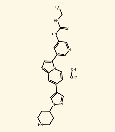 O=C(NCC(F)(F)F)Nc1cncc(-c2cnc3cc(-c4cnn(C5CCNCC5)c4)ccn23)c1.O=CO